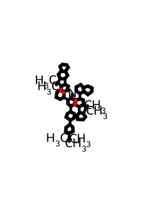 CC(C)(C)c1ccc(-c2ccc(-c3ccc(N(c4ccc5c(c4)-c4cc6ccccc6cc4C5(C)C)c4ccc5ccccc5c4-c4ccc5c(c4)C(C)(C)c4ccccc4-5)c(-c4ccccc4)c3)cc2)cc1